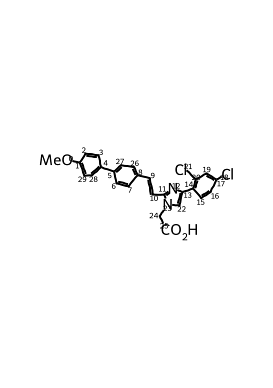 COc1ccc(-c2ccc(/C=C/c3nc(-c4ccc(Cl)cc4Cl)cn3CC(=O)O)cc2)cc1